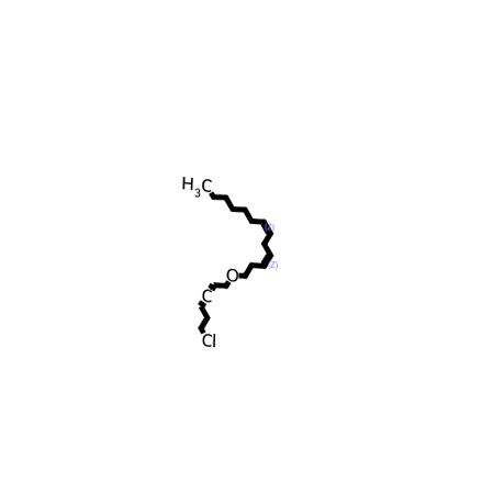 CCCCCC/C=C\C/C=C\CCOCC=C=CCCCl